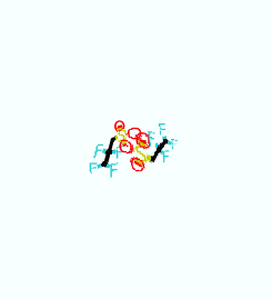 O=S(=O)(CC(F)(F)C(F)F)OS(=O)(=O)CC(F)(F)C(F)F